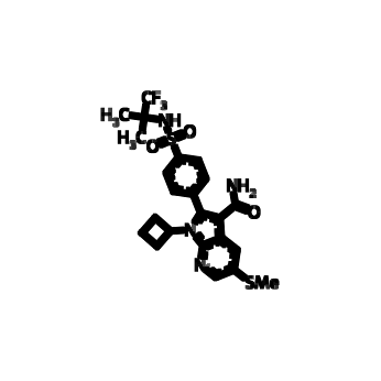 CSc1cnc2c(c1)c(C(N)=O)c(-c1ccc(S(=O)(=O)NC(C)(C)C(F)(F)F)cc1)n2C1CCC1